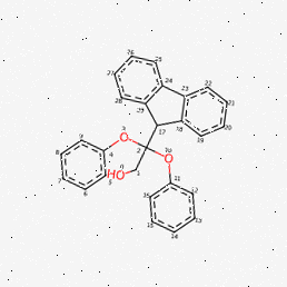 OCC(Oc1ccccc1)(Oc1ccccc1)C1c2ccccc2-c2ccccc21